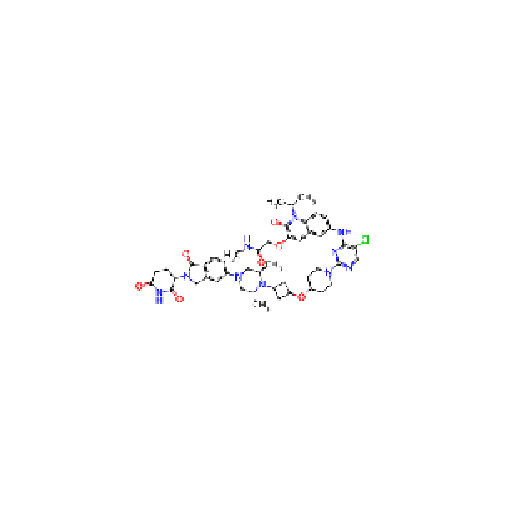 CNC(=O)COc1cc2cc(Nc3nc(N4CCC(OC5CC(N6[C@H](C)CN(c7ccc8c(c7)CN(C7CCC(=O)NC7=O)C8=O)C[C@H]6C)C5)CC4)ncc3Cl)ccc2n(C(C)C)c1=O